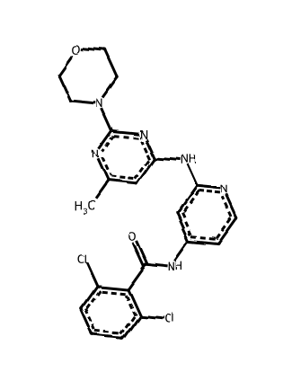 Cc1cc(Nc2cc(NC(=O)c3c(Cl)cccc3Cl)ccn2)nc(N2CCOCC2)n1